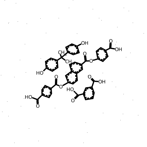 CC(C)(c1ccc(O)cc1)c1ccc(O)cc1.O=C(O)c1ccc(OC(=O)c2ccc3cc(OC(=O)c4ccc(C(=O)O)cc4)ccc3c2)cc1.O=C(O)c1cccc(C(=O)O)c1